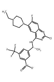 CCN1CCN(c2cc3c(N[C@H](C)c4cc([N+](=O)[O-])cc(C(F)(F)F)c4)nc(Cl)nc3cc2F)CC1